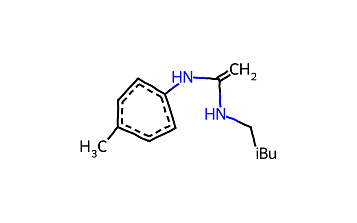 C=C(NCC(C)CC)Nc1ccc(C)cc1